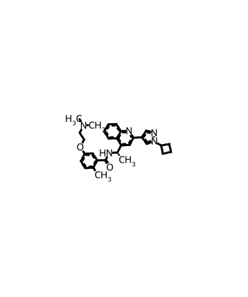 Cc1ccc(OCCN(C)C)cc1C(=O)N[C@H](C)c1cc(-c2cnn(C3CCC3)c2)nc2ccccc12